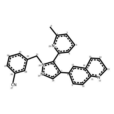 Cc1cccc(-c2c(-c3ccc4ncccc4c3)cnn2Cc2cccc(C#N)c2)n1